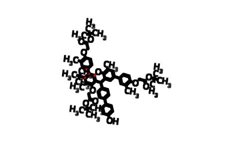 Cc1cc(-c2cc(C)c(OCC(=O)CC(C)(C)C)c(C(c3ccc(-c4ccc(O)cc4)cc3)c3cc(-c4ccc(OCC(=O)OC(C)(C)C)c(C)c4)cc(C)c3OCC(=O)OC(C)(C)C)c2)ccc1OCC(=O)OC(C)(C)C